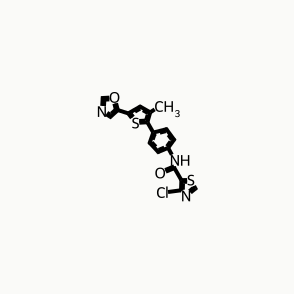 Cc1cc(-c2cnco2)sc1-c1ccc(NC(=O)c2scnc2Cl)cc1